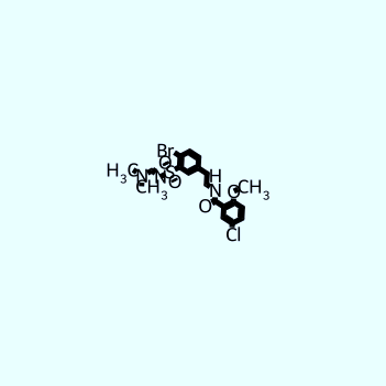 COc1ccc(Cl)cc1C(=O)NCCc1ccc(Br)c(S(=O)(=O)N=CN(C)C)c1